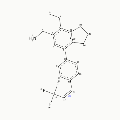 CCc1c(CN)cc(-c2ccc(/C=C\C(F)(F)F)cc2)c2c1CCC2